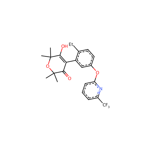 CCc1ccc(Oc2cccc(C(F)(F)F)n2)cc1C1=C(O)C(C)(C)OC(C)(C)C1=O